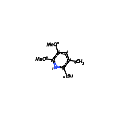 COc1cc(C)c(C(C)(C)C)nc1OC